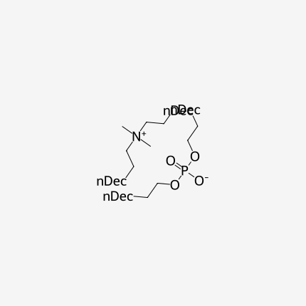 CCCCCCCCCCCCOP(=O)([O-])OCCCCCCCCCCCC.CCCCCCCCCCCC[N+](C)(C)CCCCCCCCCCCC